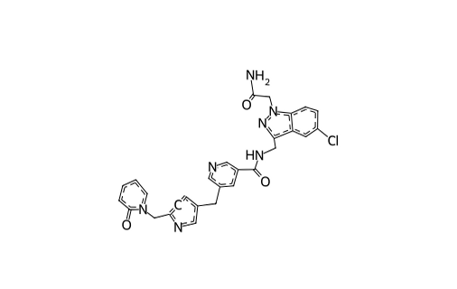 NC(=O)Cn1nc(CNC(=O)c2cncc(Cc3ccc(Cn4ccccc4=O)nc3)c2)c2cc(Cl)ccc21